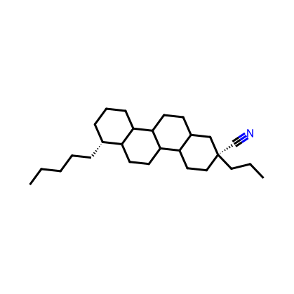 CCCCC[C@@H]1CCCC2C3CCC4C[C@@](C#N)(CCC)CCC4C3CCC21